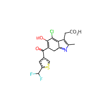 CC1=C(CC(=O)O)C2=C(Cl)C(O)=C(C(=O)c3csc(C(F)F)c3)CC2=N1